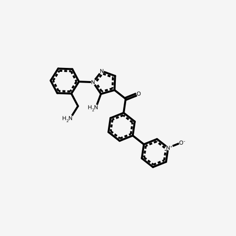 NCc1ccccc1-n1ncc(C(=O)c2cccc(-c3ccc[n+]([O-])c3)c2)c1N